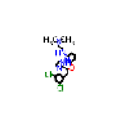 CN(C)CCNc1cccc(OC(Cc2cc(Cl)cc(Cl)c2)c2ncc[nH]2)n1